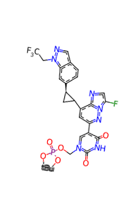 CC(C)(C)OP(=O)(OCn1cc(-c2cc(C3C[C@H]3c3ccc4cnn(CC(F)(F)F)c4c3)c3ncc(F)n3n2)c(=O)[nH]c1=O)OC(C)(C)C